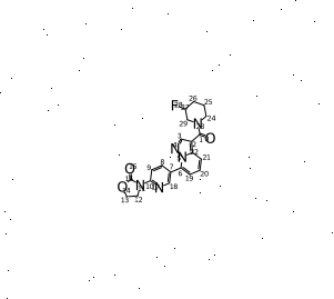 O=C(c1cnn2c(-c3ccc(N4CCOC4=O)nc3)cccc12)N1CCCC(F)C1